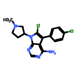 Nc1ncnc2c1c(-c1ccc(Cl)cc1)c(Cl)n2C1CCN(C(=O)O)C1